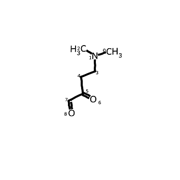 CN(C)CCC(=O)[C]=O